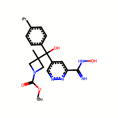 CC(C)c1ccc(C(O)(c2cnnc(C(=N)NO)c2)C2(C)CN(C(=O)OC(C)(C)C)C2)cc1